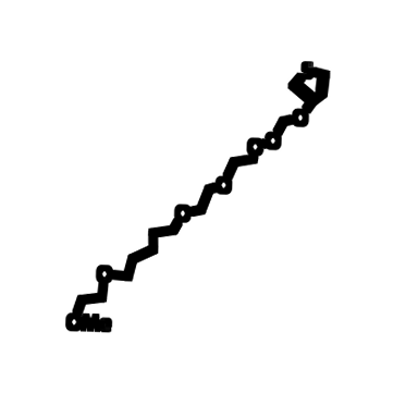 COCCOCCCCCOCCOCCOOCOc1ccsc1